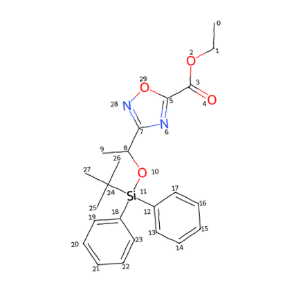 CCOC(=O)c1nc(C(C)O[Si](c2ccccc2)(c2ccccc2)C(C)(C)C)no1